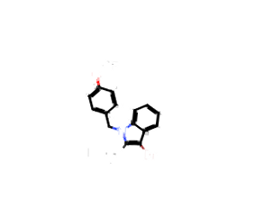 O=C(O)c1c(Br)c2ccccc2n1Cc1ccc(OC(F)(F)F)cc1